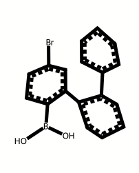 OB(O)c1ccc(Br)cc1-c1ccccc1-c1ccccc1